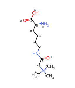 C[N+](C)(C)CC(=O)NCCCCC(N)C(=O)O